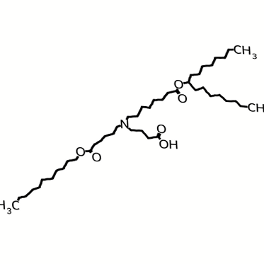 CCCCCCCCCCCOC(=O)CCCCCN(CCCCCCCC(=O)OC(CCCCCCCC)CCCCCCCC)CCCC(=O)O